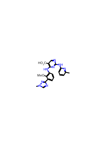 COc1c(Nc2nc(Nc3cccc(C)n3)ncc2C(=O)O)cccc1-c1ncn(C)n1